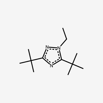 CCn1nc(C(C)(C)C)nc1C(C)(C)C